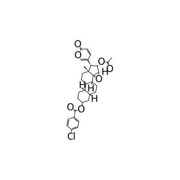 CC(=O)O[C@H]1[C@H]2O[C@]23[C@@H]2CC[C@@H]4C[C@@H](OC(=O)c5ccc(Cl)cc5)CC[C@]4(C)[C@H]2CC[C@]3(C)[C@H]1c1ccc(=O)oc1